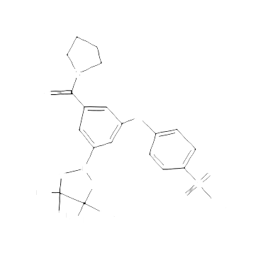 CC1(C)OB(c2cc(Oc3ccc(S(C)(=O)=O)cc3)cc(C(=O)N3CCCC3)c2)OC1(C)C